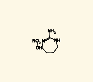 NC1=NCCCCN1.O=[N+]([O-])O